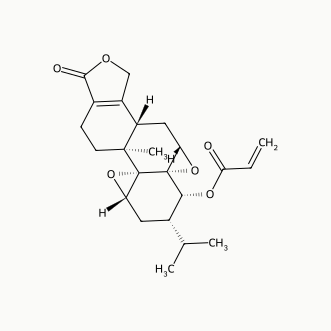 C=CC(=O)O[C@@H]1[C@H](C(C)C)C[C@@H]2O[C@]23[C@]12O[C@H]2C[C@H]1C2=C(CC[C@@]13C)C(=O)OC2